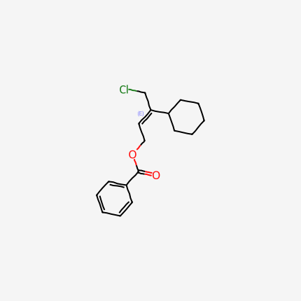 O=C(OC/C=C(/CCl)C1CCCCC1)c1ccccc1